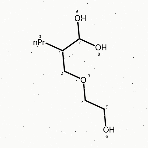 CCCC(COCCO)C(O)O